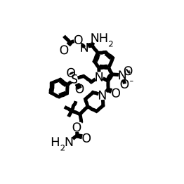 CC(=O)ON=C(N)c1ccc2c([N+](=O)[O-])c(C(=O)N3CCC(C(COC(N)=O)C(C)(C)C)CC3)n(CCS(=O)(=O)c3ccccc3)c2c1